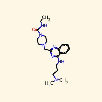 CCNC(=O)N1CCN(Cc2nc(NCCCN(C)C)c3ccccc3n2)CC1